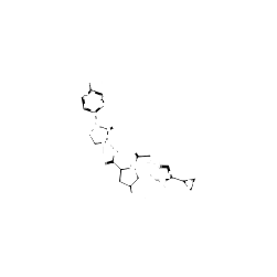 CC(C)(C)[C@@H](C(=O)N1CC(O)CC1C(=O)NC1CCN(c2ccc(C(F)(F)F)cc2)C1=O)n1cc(C2CC2)nn1